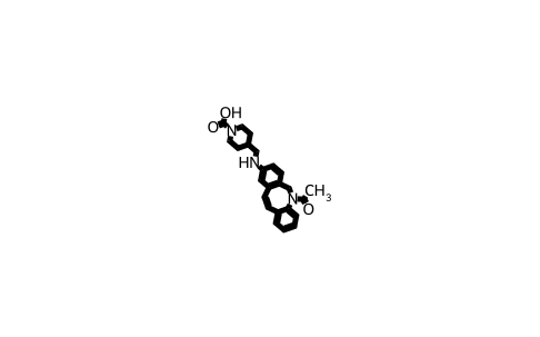 CC(=O)N1Cc2ccc(NCC3CCN(C(=O)O)CC3)cc2C=Cc2ccccc21